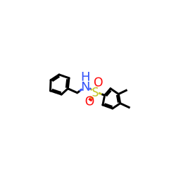 Cc1ccc(S(=O)(=O)NCc2ccccc2)cc1C